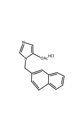 CC(=O)Oc1cncn1Cc1ccc2ccccc2c1.Cl